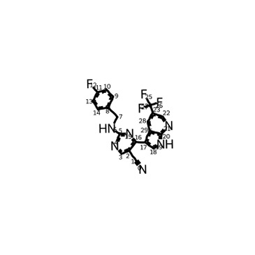 N#Cc1cnc(NCc2ccc(F)cc2)nc1-c1c[nH]c2ncc(C(F)(F)F)cc12